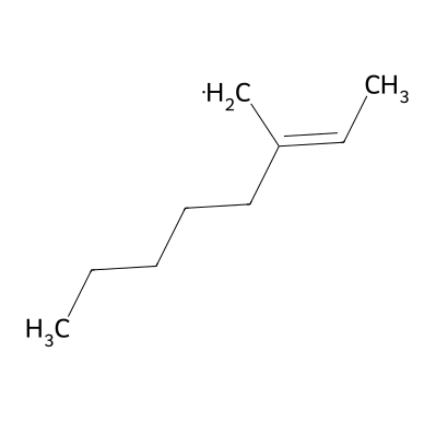 [CH2]/C(=C\C)CCCCC